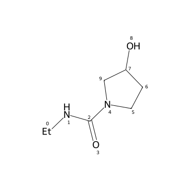 CCNC(=O)N1CCC(O)C1